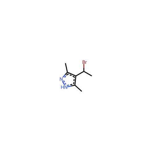 Cc1n[nH]c(C)c1C(C)Br